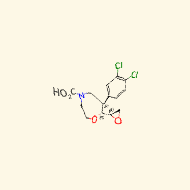 O=C(O)N1CCO[C@@H]([C@H]2CO2)[C@H](c2ccc(Cl)c(Cl)c2)C1